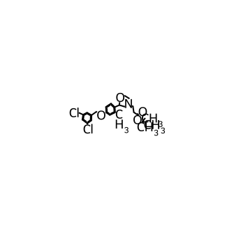 Cc1cc(OCc2cc(Cl)cc(Cl)c2)ccc1C1CN(CCC(=O)OC(C)(C)C)CCO1